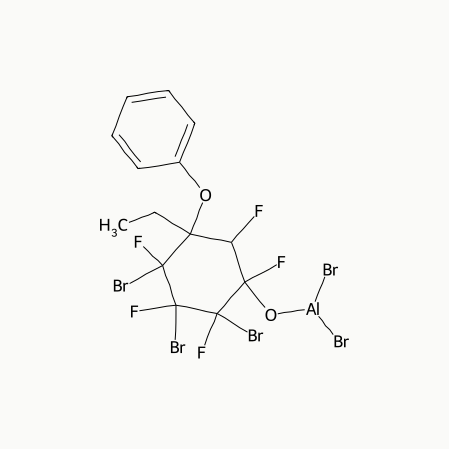 CCC1(Oc2ccccc2)C(F)C(F)([O][Al]([Br])[Br])C(F)(Br)C(F)(Br)C1(F)Br